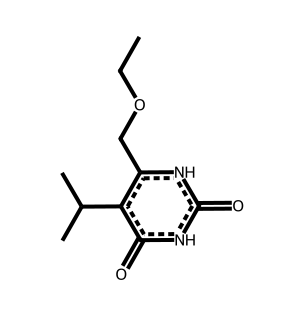 CCOCc1[nH]c(=O)[nH]c(=O)c1C(C)C